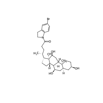 C[C@H](CCC(=O)N1CCc2cc(Br)ccc21)[C@H]1CC[C@H]2[C@@H]3[C@H](O)C[C@@H]4C[C@H](O)CC[C@]4(C)[C@H]3C[C@H](O)[C@]12C